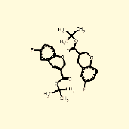 CC(C)(C)OC(=O)C1=Cc2cc(F)ccc2OC1.CC(C)(C)OC(=O)C1COc2ccc(F)cc2C1